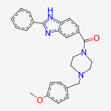 COc1ccc(CN2CCN(C(=O)c3ccc4[nH]c(-c5ccccc5)nc4c3)CC2)cc1